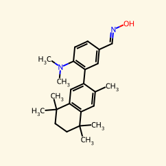 Cc1cc2c(cc1-c1cc(/C=N/O)ccc1N(C)C)C(C)(C)CCC2(C)C